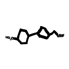 CCCCCCCCCCc1ccc(C2CCC(C(=O)O)CC2)cc1